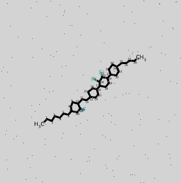 CCCCCCCC1CCC(CCC2CCC(C3CCC(C4CCC(CCCCC)CC4)C(F)C3F)CC2)C(F)C1